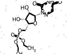 CCOP(=O)(OCC)OC[C@H]1O[C@@H](n2ncc(=O)[nH]c2=O)[C@@H](O)[C@H]1O